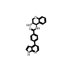 O=C(N[C@@H]1c2ccccc2OC[C@@H]1O)c1ccc(-c2ccnc3[nH]ccc23)cc1